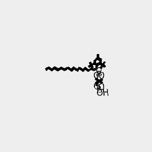 CCCCCCCCCCCCCCCCCC(OP1OCC2(COP(O)OC2)CO1)c1c(C(C)(C)C)cc(C)cc1C(C)(C)C